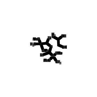 CC(O)CO.CCC(OC(CC)[Si](C)(OC)OC)[Si](C)(OC)OC